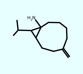 C=C1CCCCC2(N)C(CC1)C2C(C)C